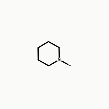 [F][Al]1[CH2]CCC[CH2]1